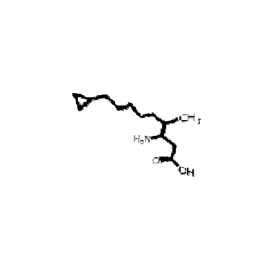 CC(CCCCCC1CC1)C(N)CC(=O)O